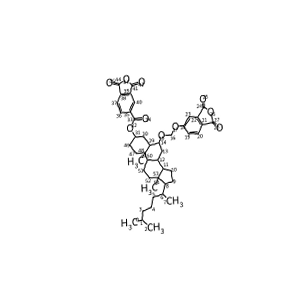 CC(C)CCCC(C)C1CCC2C3CC(OCOc4ccc5c(c4)C(=O)OC5=O)C4CC(OC(=O)c5ccc6c(c5)C(=O)OC6=O)CCC4(C)C3CCC12C